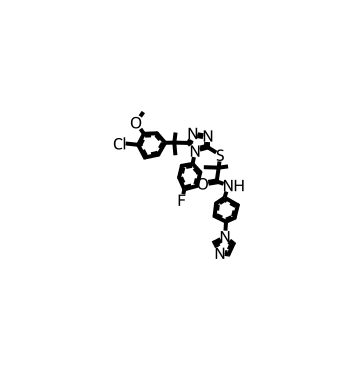 COc1cc(C(C)(C)c2nnc(SC(C)(C)C(=O)Nc3ccc(-n4ccnc4)cc3)n2-c2ccc(F)cc2)ccc1Cl